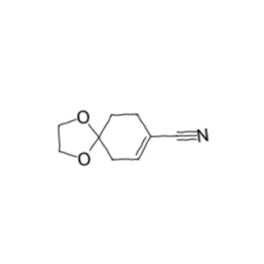 N#CC1=CCC2(CC1)OCCO2